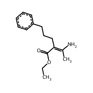 CCOC(=O)/C(CCCc1ccccc1)=C(\C)N